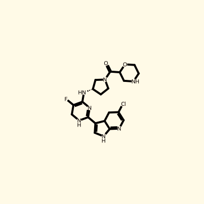 O=C(C1CNCCO1)N1CC[C@H](NC2=C(F)CNC(C3=CNC4=NC=C(Cl)CC34)=N2)C1